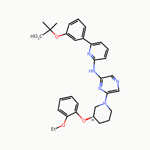 CCOc1ccccc1O[C@@H]1CCCN(c2cncc(Nc3cccc(-c4cccc(OC(C)(C)C(=O)O)c4)n3)n2)C1